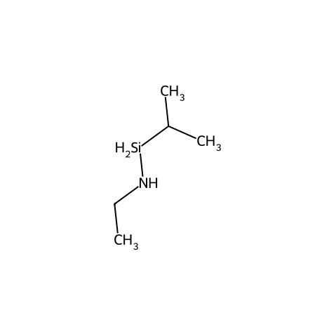 CCN[SiH2]C(C)C